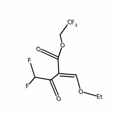 CCOC=C(C(=O)OCC(F)(F)F)C(=O)C(F)F